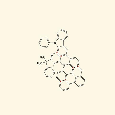 CC1(C)c2ccccc2-c2c(N(c3ccccc3-c3ccc4c(c3)c3ccccc3n4-c3ccccc3)c3ccccc3-c3cccc4cccc(-c5ccccc5)c34)cccc21